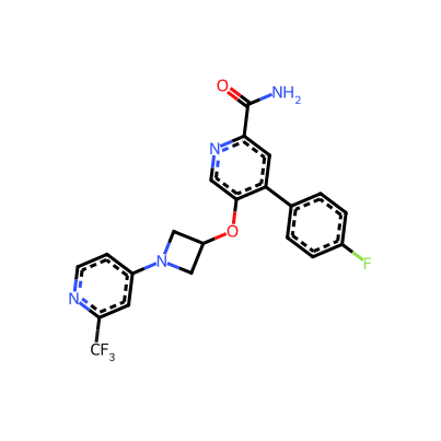 NC(=O)c1cc(-c2ccc(F)cc2)c(OC2CN(c3ccnc(C(F)(F)F)c3)C2)cn1